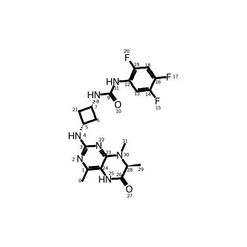 Cc1nc(N[C@H]2C[C@@H](NC(=O)Nc3cc(F)c(F)cc3F)C2)nc2c1NC(=O)[C@H](C)N2C